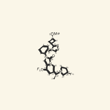 CO[C@H]1C[C@](c2cccc(-n3cc4c(C(F)(F)F)cc([C@H](C)N5CC[C@@H](F)C5)cn4c3=O)c2)(c2nncn2C)C1